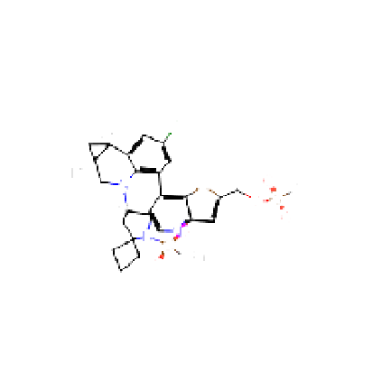 CC(C)(C)S(=O)(=O)N1C[C@H](N2C[C@H]3C[C@H]3c3cc(Cl)cc(-c4ccnc5cc(COS(C)(=O)=O)sc45)c32)CC12CCC2